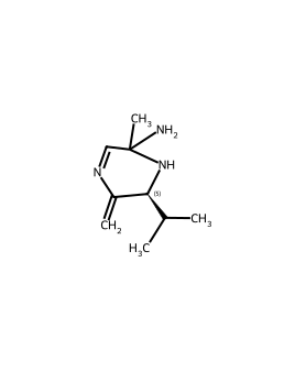 C=C1N=CC(C)(N)N[C@H]1C(C)C